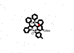 COc1ccc(C(c2c(-c3ccccc3)c3ccccc3n2S(=O)(=O)c2ccc(C)cc2)P(=O)(c2ccccc2)c2ccccc2)cc1